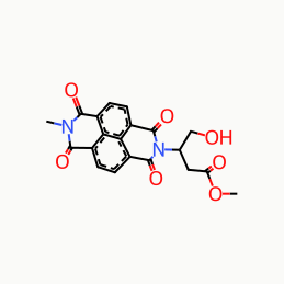 COC(=O)CC(CO)N1C(=O)c2ccc3c4c(ccc(c24)C1=O)C(=O)N(C)C3=O